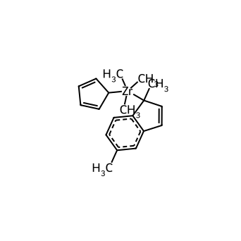 Cc1ccc2c(c1)C=C[C]2(C)[Zr]([CH3])([CH3])([CH3])[CH]1C=CC=C1